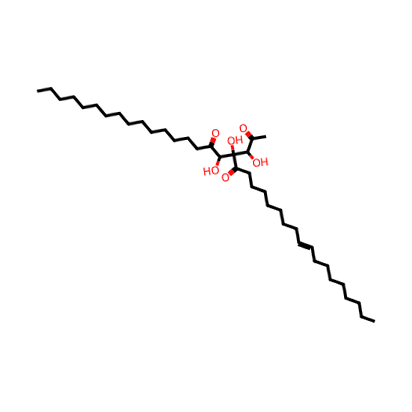 CCCCCCCCC=CCCCCCCCC(=O)C(O)(C(O)C(C)=O)C(O)C(=O)CCCCCCCCCCCCCCC